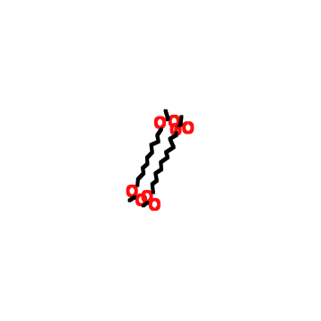 CC(=O)OCCCCCCCCCCCOC(C)=O.CC(=O)OCCCCCCCCCCCOC(C)=O